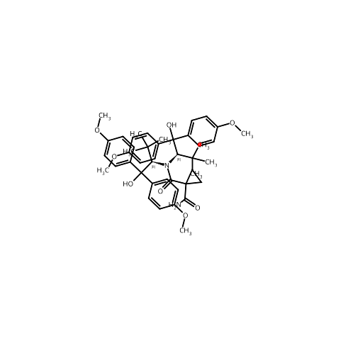 COc1ccc(C(O)(c2ccc(OC)cc2)[C@H](N(C(=O)C2(C(N)=O)CC2)[C@H](C(C)(C)C)C(O)(c2ccc(OC)cc2)c2ccc(OC)cc2)C(C)(C)C)cc1